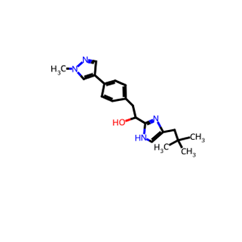 Cn1cc(-c2ccc(CC(O)c3nc(CC(C)(C)C)c[nH]3)cc2)cn1